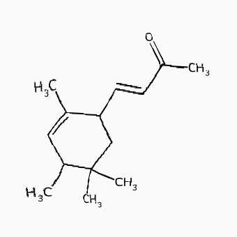 CC(=O)C=CC1CC(C)(C)C(C)C=C1C